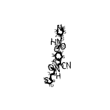 N#Cc1c(NC(=O)C=Cc2cccs2)sc2c1CCC(OC(=O)NCc1ccncc1)C2